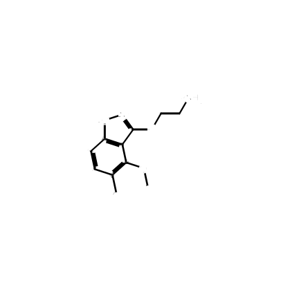 COc1c(C)ccc2onc(OCCN)c12